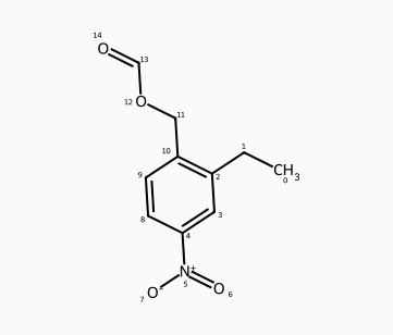 CCc1cc([N+](=O)[O-])ccc1COC=O